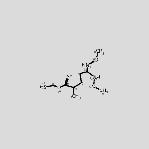 CONC(CCC(C)C(=S)OCS)NOC